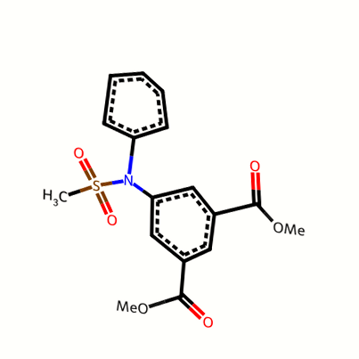 COC(=O)c1cc(C(=O)OC)cc(N(c2ccccc2)S(C)(=O)=O)c1